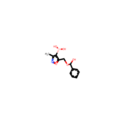 Cc1noc(COC(O)c2ccccc2)c1B(O)O